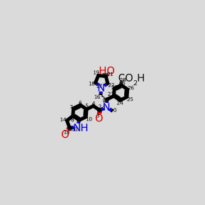 CN(C(=O)Cc1ccc2c(c1)NC(=O)C2)[C@H](CN1CC[C@H](O)C1)c1cccc(C(=O)O)c1